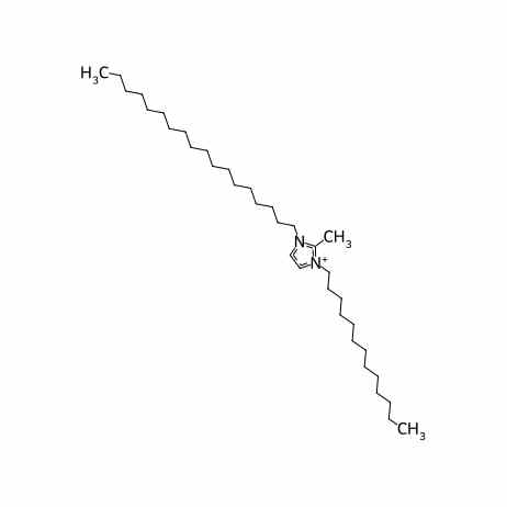 CCCCCCCCCCCCCCCCCCn1cc[n+](CCCCCCCCCCCCC)c1C